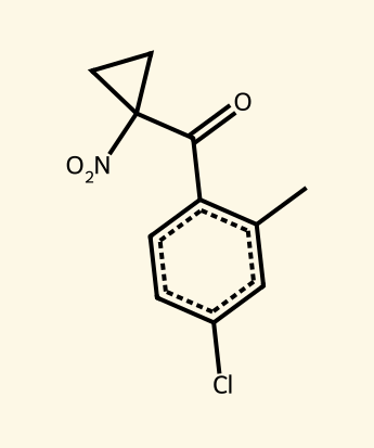 Cc1cc(Cl)ccc1C(=O)C1([N+](=O)[O-])CC1